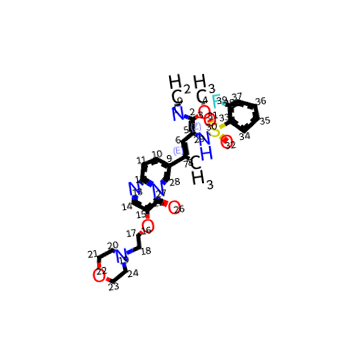 C=N/C(OC)=C(\C=C(/C)c1ccc2ncc(OCCN3CCOCC3)c(=O)n2c1)NS(=O)(=O)c1ccccc1F